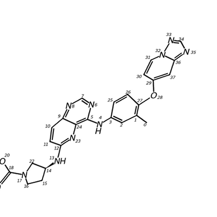 Cc1cc(Nc2ncnc3ccc(N[C@H]4CCN(C(=O)OC(C)(C)C)C4)nc23)ccc1Oc1ccn2ncnc2c1